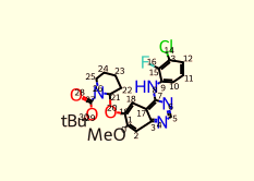 COc1cc2ncnc(Nc3cccc(Cl)c3F)c2cc1OC1CCCCN1C(=O)OC(C)(C)C